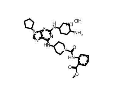 COC(=O)c1ccccc1NC(=O)N1CCC(Nc2nc(NC3CCC(N)CC3)nc3c2ncn3C2CCCC2)CC1.Cl.Cl